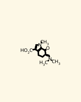 CN(C)C=C1CCc2c(C(=O)O)cn(C)c2C1=O